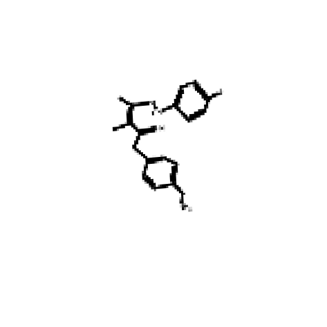 CC(NNc1ccc(Br)cc1)=C(C)C(=N)Cc1ccc(CN)cc1